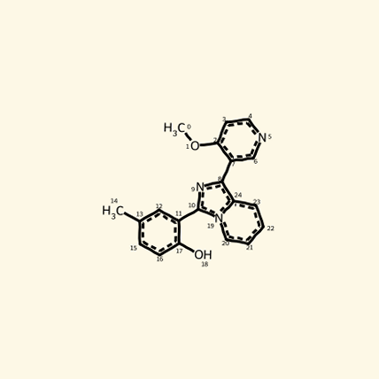 COc1ccncc1-c1nc(-c2cc(C)ccc2O)n2ccccc12